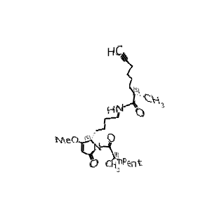 C#CCCCC[C@H](C)C(=O)NCCCC[C@H]1C(OC)=CC(=O)N1C(=O)[C@H](C)CCCCC